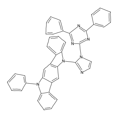 c1ccc(-c2nc(-c3ccccc3)nc(-n3ccnc3-n3c4ccccc4c4cc5c(cc43)c3ccccc3n5-c3ccccc3)n2)cc1